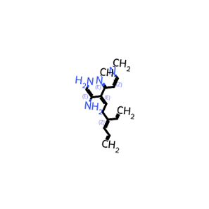 C=C/C=C(\C=C)C/C=C(C(\N)=C/N)/C(/C=C\N=C)=N/C